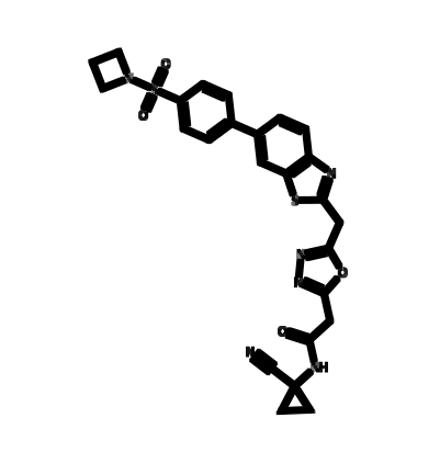 N#CC1(NC(=O)Cc2nnc(Cc3nc4ccc(-c5ccc(S(=O)(=O)N6CCC6)cc5)cc4s3)o2)CC1